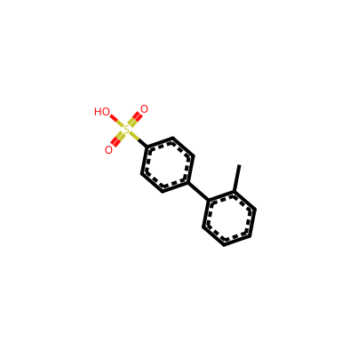 Cc1ccccc1-c1ccc(S(=O)(=O)O)cc1